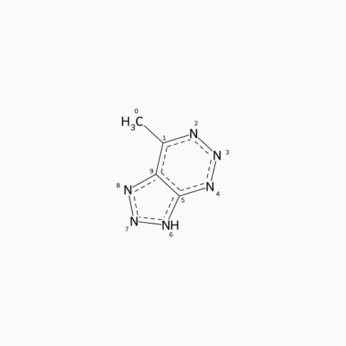 Cc1nnnc2[nH]nnc12